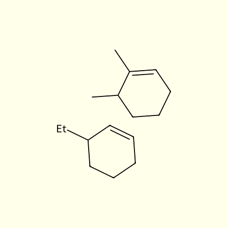 CC1=CCCCC1C.CCC1C=CCCC1